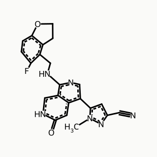 Cn1nc(C#N)cc1-c1cnc(NCc2c(F)ccc3c2CCO3)c2c[nH]c(=O)cc12